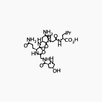 CC(C)C[C@H](NC(=O)CNC(=O)[C@H](CC(N)=O)NC(=O)[C@H](CCC(N)=O)NC(=O)CNC(=O)[C@@H]1C[C@@H](O)CN1)C(=O)O